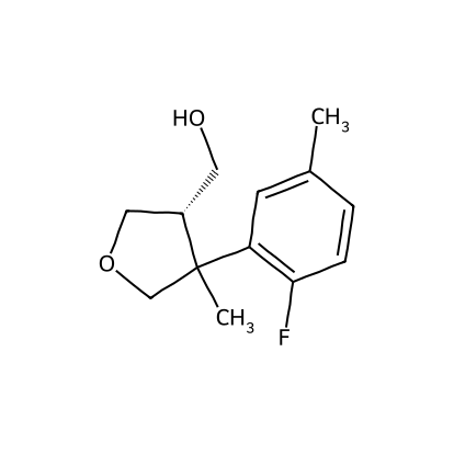 Cc1ccc(F)c(C2(C)COC[C@@H]2CO)c1